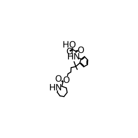 CC(C)(CCCOC(=O)C1CCCCCN1)c1ccccc1NC(=O)C(=O)O